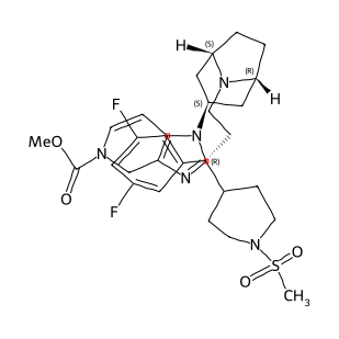 COC(=O)N1C=Cc2c(ncn2[C@@H]2C[C@H]3CC[C@@H](C2)N3CC[C@@H](c2cc(F)cc(F)c2)C2CCN(S(C)(=O)=O)CC2)C1